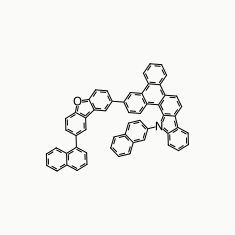 c1ccc2cc(-n3c4ccccc4c4ccc5c6ccccc6c6cc(-c7ccc8oc9ccc(-c%10cccc%11ccccc%10%11)cc9c8c7)ccc6c5c43)ccc2c1